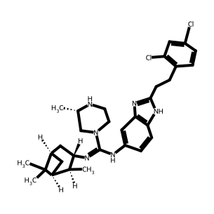 C[C@@H]1[C@@H](/N=C(/Nc2ccc3[nH]c(CCc4ccc(Cl)cc4Cl)nc3c2)N2CCN[C@@H](C)C2)C[C@H]2C[C@@H]1C2(C)C